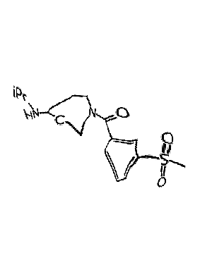 CC(C)NC1CCN(C(=O)c2cccc(S(C)(=O)=O)c2)CC1